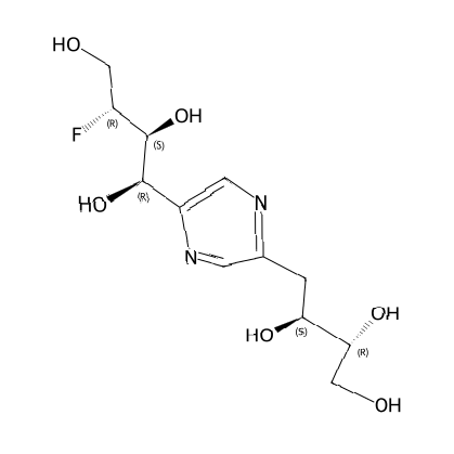 OC[C@@H](O)[C@@H](O)Cc1cnc([C@@H](O)[C@H](O)[C@H](F)CO)cn1